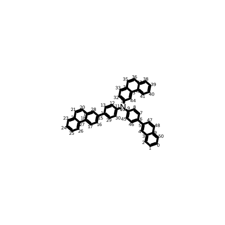 c1ccc2cc(-c3ccc(N(c4ccc(-c5ccc6c(ccc7ccccc76)c5)cc4)c4ccc5ccc6ccccc6c5c4)cc3)ccc2c1